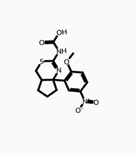 COc1ccc([N+](=O)[O-])cc1C12CCCC1CSC(NC(=O)O)=N2